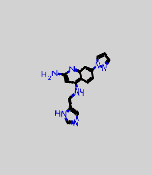 Nc1cc(NCc2cnc[nH]2)c2ccc(-n3cccn3)cc2n1